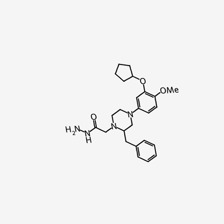 COc1ccc(N2CCN(CC(=O)NN)C(Cc3ccccc3)C2)cc1OC1CCCC1